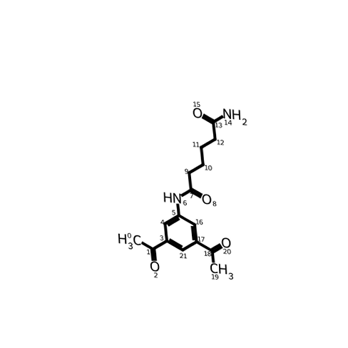 CC(=O)c1cc(NC(=O)CCCCC(N)=O)cc(C(C)=O)c1